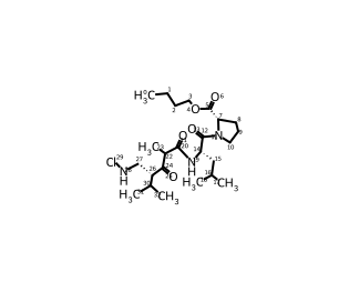 CCCCOC(=O)[C@@H]1CCCN1C(=O)[C@H](CC(C)C)NC(=O)C(C)C(=O)[C@@H](CNCl)C(C)C